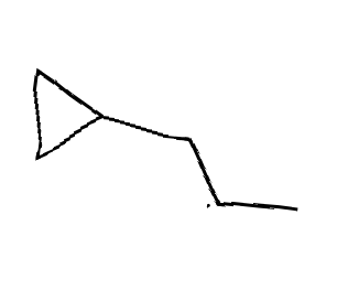 C[CH]CC1CC1